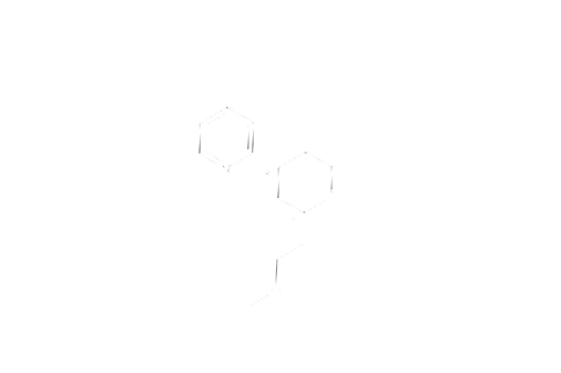 COCC[C@@H]1C[C@H](c2ccccn2)CCO1